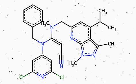 Cc1nn(C)c2nc(CN(C)/C(=C/C#N)N(Cc3ccccc3)c3cc(Cl)nc(Cl)c3)cc(C(C)C)c12